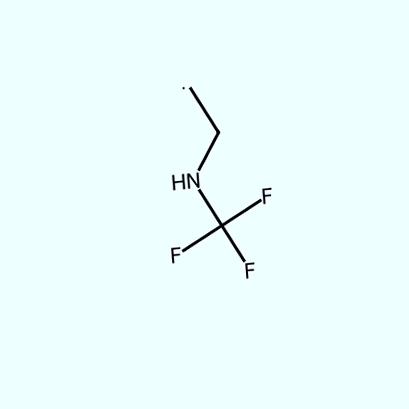 [CH2]CNC(F)(F)F